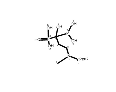 CCCCCN(C)CCC(O)(P(O)O)P(=O)(O)O